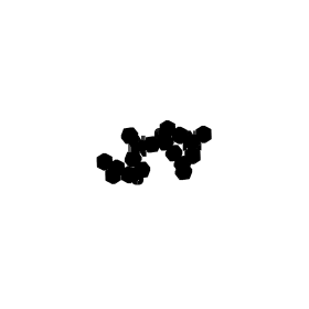 c1ccc(-c2nc(-c3ccccc3)nc(-c3ccc(-c4cccc5oc6c(-c7ccc(-c8nc(-c9ccccc9)nc(-c9cccc(-c%10cccc%11oc%12ccc(-c%13ccc(-c%14ccccc%14)c%14ccccc%13%14)cc%12c%10%11)c9)n8)cc7)cc(-c7ccc(-c8ccc9ccccc9c8)cc7)cc6c45)cc3)n2)cc1